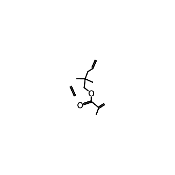 C=C.C=CCC(C)(C)COC(=O)C(=C)C